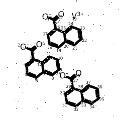 O=C([O-])c1cccc2ccccc12.O=C([O-])c1cccc2ccccc12.O=C([O-])c1cccc2ccccc12.[V+3]